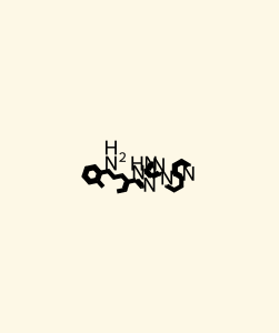 C/C=C(\CC[C@H](N)c1ccccc1C)c1cnc2c(N3CCCc4ncccc43)n[nH]c2n1